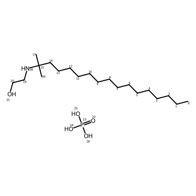 CCCCCCCCCCCCCCCC(C)(C)NCCO.O=P(O)(O)O